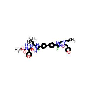 CCCC(c1nc(-c2ccc(-c3ccc(-c4nc(CN(CCC)C(=O)CC5CCOCC5)[nH]c4F)cc3)cc2)c(F)[nH]1)N(C)C(=O)C(NC(=O)OC)C1CCOCC1